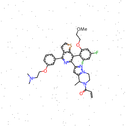 C=CC(=O)N1CCn2nc(-c3nc(-c4cccc(OCCN(C)C)c4)c4ccsc4c3-c3c(F)cc(F)cc3OCCOC)cc2C1C